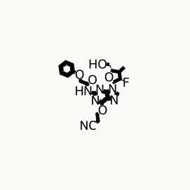 CC1[C@@H](CO)O[C@@H](n2cnc3c(OCCC#N)nc(NC(=O)COc4ccccc4)nc32)[C@H]1F